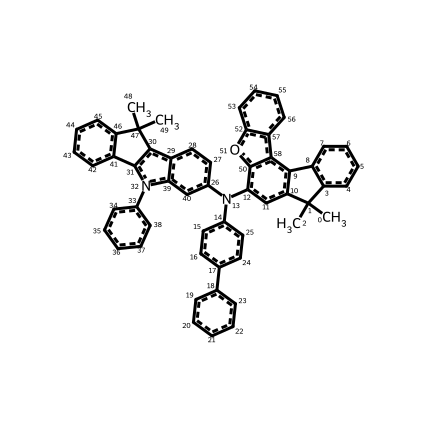 CC1(C)c2ccccc2-c2c1cc(N(c1ccc(-c3ccccc3)cc1)c1ccc3c4c(n(-c5ccccc5)c3c1)-c1ccccc1C4(C)C)c1oc3ccccc3c21